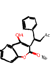 CC(=O)CC(c1ccccc1)c1c(O)c2ccccc2oc1=O.[Na]